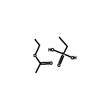 CCOC(C)=O.CCP(=O)(O)O